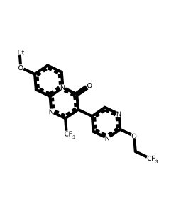 CCOc1ccn2c(=O)c(-c3cnc(OCC(F)(F)F)nc3)c(C(F)(F)F)nc2c1